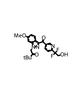 COc1ccc2c(C(=O)c3ccc(C(F)(F)CO)nc3)nn(CC(=O)C(C)(C)C)c2c1